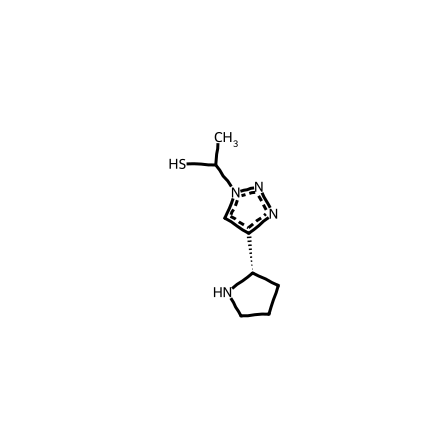 CC(S)n1cc([C@@H]2CCCN2)nn1